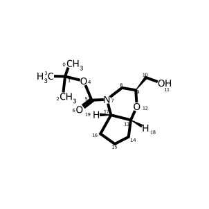 CC(C)(C)OC(=O)N1C[C@@H](CO)O[C@@H]2CCC[C@@H]21